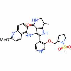 COc1ccc2c(Nc3c(-c4ccncc4OC[C@H]4CCCN4S(C)(=O)=O)[nH]c4c3C(=O)NC[C@H]4C)cccc2n1